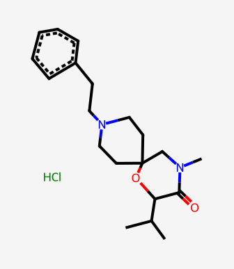 CC(C)C1OC2(CCN(CCc3ccccc3)CC2)CN(C)C1=O.Cl